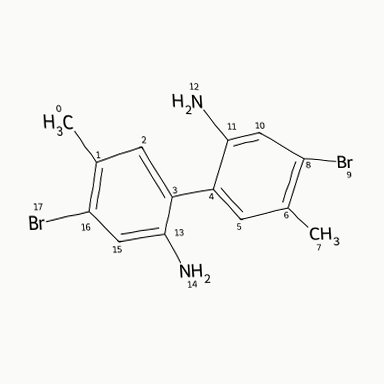 Cc1cc(-c2cc(C)c(Br)cc2N)c(N)cc1Br